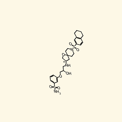 NS(=O)(=O)c1cccc(OCC(O)CN[C@H]2COC3(CCN(S(=O)(=O)c4ccc5c(c4)CCCC5)CC3)C2)c1